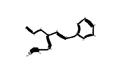 C=CCC(C=Cc1ccccc1)=CC#N